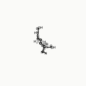 Cc1c(COc2cc(OCc3cncc(C#N)c3)c(CNCCCC(=O)O)cc2Cl)cccc1-c1cccc(-c2ncc(COCCNCCCC(=O)O)s2)c1C